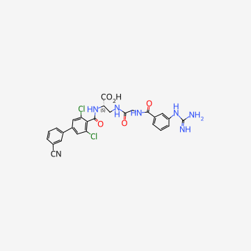 N#Cc1cccc(-c2cc(Cl)c(C(=O)N[C@@H](CNC(=O)CNC(=O)c3cccc(NC(=N)N)c3)C(=O)O)c(Cl)c2)c1